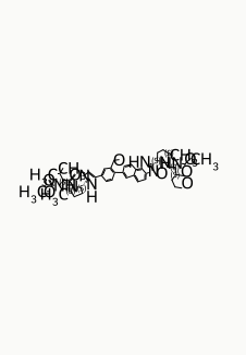 COC(=O)N[C@H](C(=O)N1[C@@H](C)CC[C@H]1c1ncc(-c2ccc3c(c2)COc2cc4c(ccc5nc([C@@H]6CC[C@H](C)N6C(=O)[C@@H](NC(=O)OC)[C@@H]6CCCOC6)[nH]c54)cc2-3)[nH]1)C(C)C